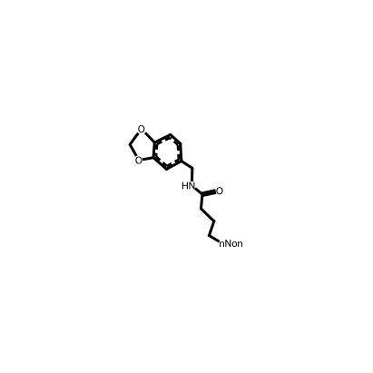 CCCCCCCCCCCCC(=O)NCc1ccc2c(c1)OCO2